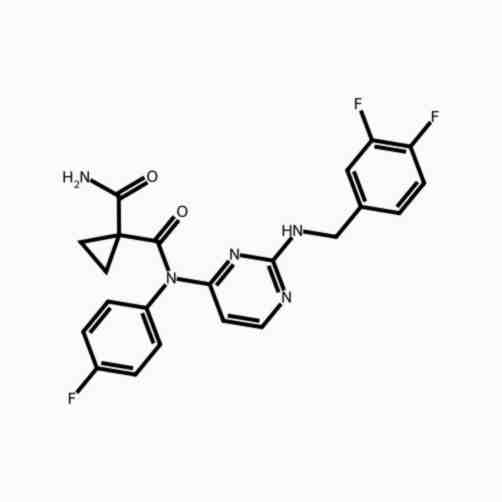 NC(=O)C1(C(=O)N(c2ccc(F)cc2)c2ccnc(NCc3ccc(F)c(F)c3)n2)CC1